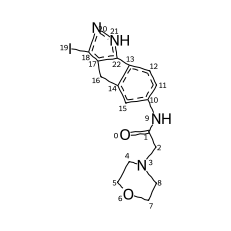 O=C(CN1CCOCC1)Nc1ccc2c(c1)Cc1c(I)n[nH]c1-2